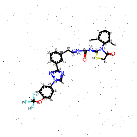 Cc1cccc(C)c1N1C(=O)CS/C1=N\C(=O)NCCc1cccc(-c2ncn(-c3ccc(OC(F)(F)F)cc3)n2)c1